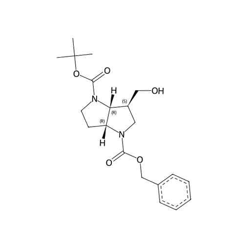 CC(C)(C)OC(=O)N1CC[C@@H]2[C@H]1[C@@H](CO)CN2C(=O)OCc1ccccc1